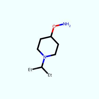 CCC(CC)N1CCC(ON)CC1